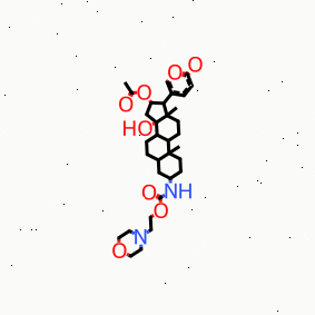 CC(=O)OC1CC2(O)C3CCC4CC(NC(=O)OCCN5CCOCC5)CCC4(C)C3CCC2(C)C1c1ccc(=O)oc1